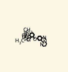 CCS(=O)(=O)N(c1cccc(Oc2ccc3c(c2)C2=NCCCN2C=N3)c1Cl)S(=O)(=O)CC